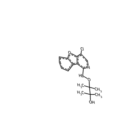 CC(C)(O)C(C)(C)OBc1ncc(Cl)c2oc3ccccc3c12